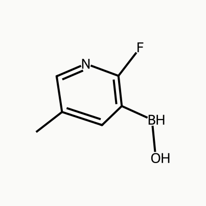 Cc1cnc(F)c(BO)c1